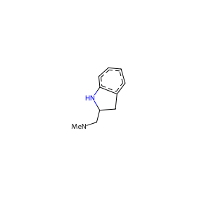 CNCC1Cc2ccccc2N1